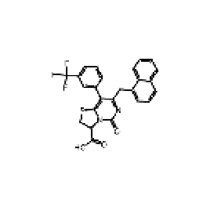 O=C(O)C1CSc2c(-c3cccc(C(F)(F)F)c3)c(Cc3cccc4ccccc34)nc(=O)n21